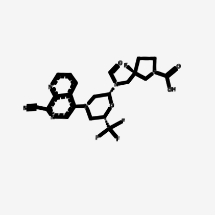 N#Cc1ncc(N2C[C@@H](C(F)(F)F)O[C@@H](N(C=O)C[C@]3(F)CCN(C(=O)O)C3)C2)c2cccnc12